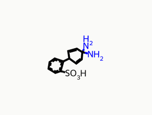 NC1(N)C=CC(c2ccccc2S(=O)(=O)O)C=C1